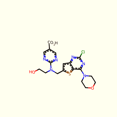 O=C(O)c1cnc(N(CCO)Cc2cc3nc(Cl)nc(N4CCOCC4)c3s2)nc1